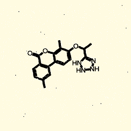 Cc1ccc2c(=O)oc3c(C)c(OC(C)C4=NNNN4)ccc3c2c1